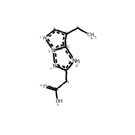 CCc1cnn2nc(CC(=O)O)[nH]c12